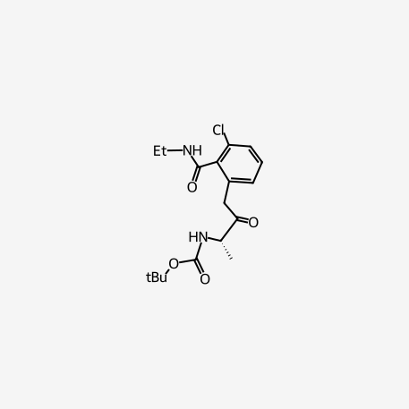 CCNC(=O)c1c(Cl)cccc1CC(=O)[C@H](C)NC(=O)OC(C)(C)C